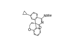 CNC1=NC(=O)[C@@]2(CCOc3ccccc32)c2cc(C3CC3)ccc21